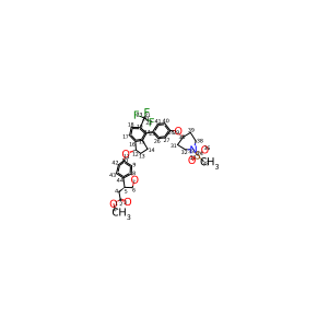 COC(=O)C[C@@H]1COc2cc(O[C@@H]3CCc4c3ccc(C(F)(F)F)c4-c3ccc(OC4CCN(S(C)(=O)=O)CC4)cc3)ccc21